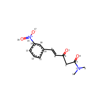 CN(C)C(=O)CC(=O)C=Cc1cccc([N+](=O)[O-])c1